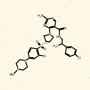 CC(CNC(=O)c1cnc(N)nc1N1CC[C@H](S(=O)(=O)c2ccc(N3CCN(C(C)(C)C)CC3)cc2Cl)C1)c1ccc(Cl)cc1